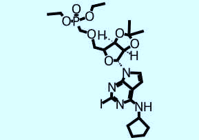 CCOP(=O)(COCC1O[C@@H](n2ccc3c(NC4CCCC4)nc(I)nc32)[C@@H]2OC(C)(C)O[C@H]12)OCC